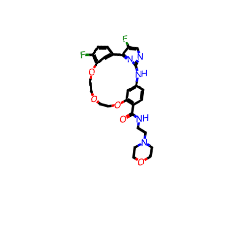 O=C(NCCN1CCOCC1)c1ccc2cc1OCCOCCOc1cc(ccc1F)-c1nc(ncc1F)N2